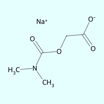 CN(C)C(=O)OCC(=O)[O-].[Na+]